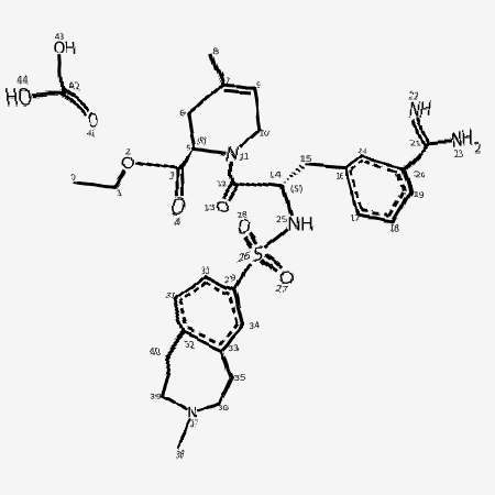 CCOC(=O)[C@H]1CC(C)=CCN1C(=O)[C@H](Cc1cccc(C(=N)N)c1)NS(=O)(=O)c1ccc2c(c1)CCN(C)CC2.O=C(O)O